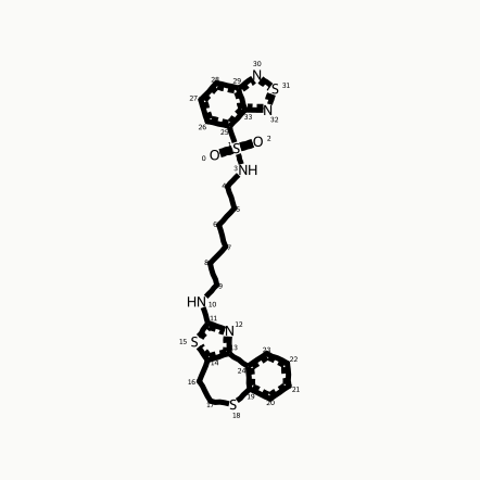 O=S(=O)(NCCCCCCNc1nc2c(s1)CCSc1ccccc1-2)c1cccc2nsnc12